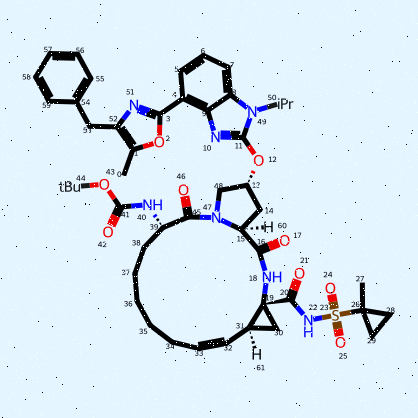 Cc1oc(-c2cccc3c2nc(O[C@@H]2C[C@H]4C(=O)N[C@]5(C(=O)NS(=O)(=O)C6(C)CC6)C[C@H]5/C=C\CCCCC[C@H](NC(=O)OC(C)(C)C)C(=O)N4C2)n3C(C)C)nc1Cc1ccccc1